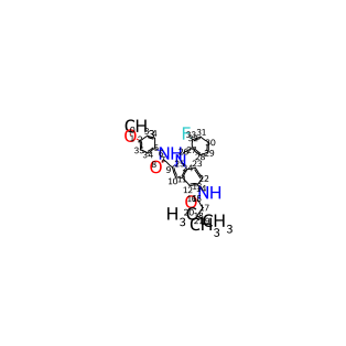 COc1ccc(NC(=O)c2cc3cc(NC(=O)CC(C)(C)C)ccc3n2Cc2ccccc2F)cc1